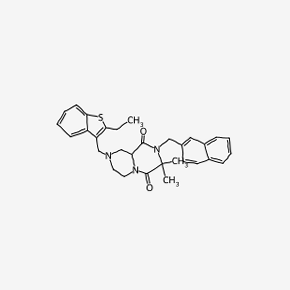 CCc1sc2ccccc2c1CN1CCN2C(=O)C(C)(C)N(Cc3ccc4ccccc4c3)C(=O)C2C1